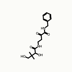 CC(C)(CO)C(O)C(=O)NCCC(=O)C(=O)NCc1ccccc1